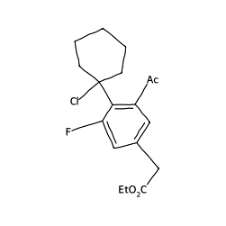 CCOC(=O)Cc1cc(F)c(C2(Cl)CCCCC2)c(C(C)=O)c1